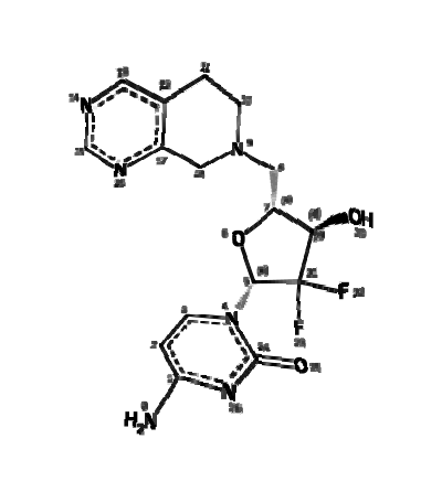 Nc1ccn([C@@H]2O[C@H](CN3CCc4cncnc4C3)[C@@H](O)C2(F)F)c(=O)n1